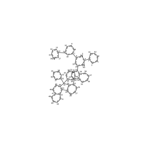 c1ccc(-c2nc(-c3cccc(-c4cccnc4)c3)cc(-c3ccc(-c4cccc5c4C(c4ccccc4)(c4ccccc4)c4ccc6ccccc6c4-5)c4ccccc34)n2)cc1